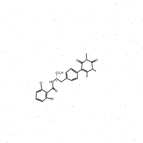 CCc1cccc(Cl)c1C(=O)N[C@@H](Cc1ccc(-c2c(C)n(C)c(=O)n(C)c2=O)cc1)C(=O)O